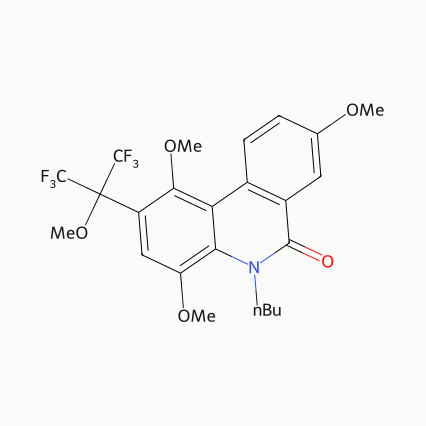 CCCCn1c(=O)c2cc(OC)ccc2c2c(OC)c(C(OC)(C(F)(F)F)C(F)(F)F)cc(OC)c21